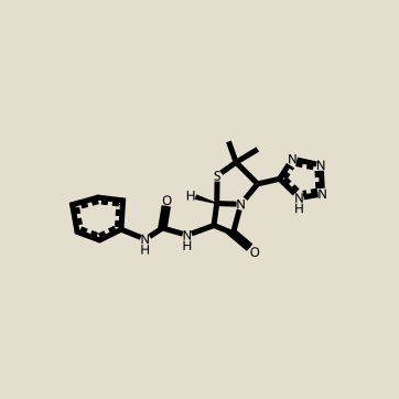 CC1(C)S[C@H]2C(NC(=O)Nc3ccccc3)C(=O)N2C1c1nnn[nH]1